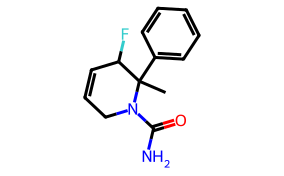 CC1(c2ccccc2)C(F)C=CCN1C(N)=O